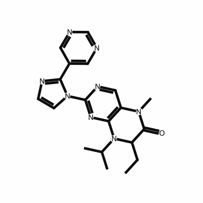 CCC1C(=O)N(C)c2cnc(-n3ccnc3-c3cncnc3)nc2N1C(C)C